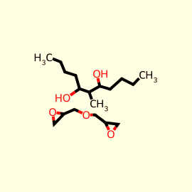 C(OCC1CO1)C1CO1.CCCCC(O)C(C)C(O)CCCC